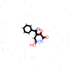 NC(=O)c1onc(C2CCCCC2)c1CCO